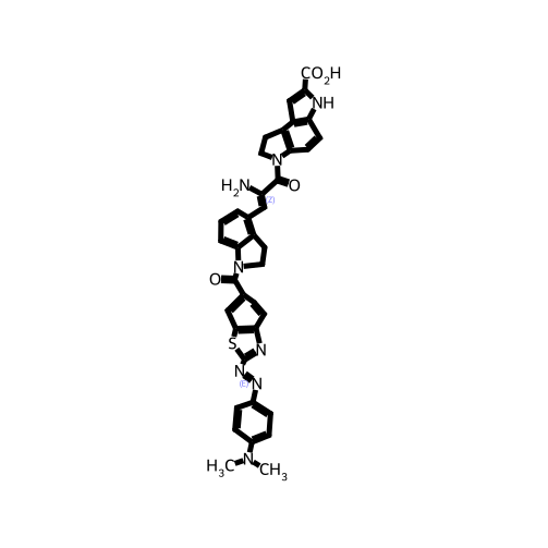 CN(C)c1ccc(/N=N/c2nc3ccc(C(=O)N4CCc5c(/C=C(\N)C(=O)N6CCc7c6ccc6[nH]c(C(=O)O)cc76)cccc54)cc3s2)cc1